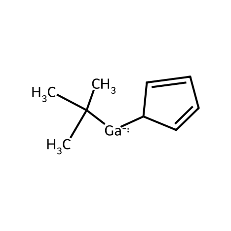 C[C](C)(C)[Ga-][CH]1C=CC=C1